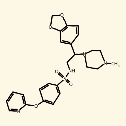 CN1CCN(C(CNS(=O)(=O)c2ccc(Oc3ccccn3)cc2)c2ccc3c(c2)OCO3)CC1